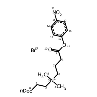 CCCCCCCCCCCC[N+](C)(C)CCCC(=O)Oc1ccc([N+](=O)[O-])cc1.[Br-]